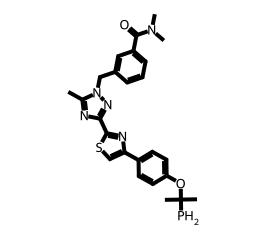 Cc1nc(-c2nc(-c3ccc(OC(C)(C)P)cc3)cs2)nn1Cc1cccc(C(=O)N(C)C)c1